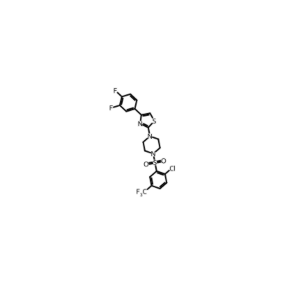 O=S(=O)(c1cc(C(F)(F)F)ccc1Cl)N1CCN(c2nc(-c3ccc(F)c(F)c3)cs2)CC1